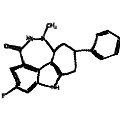 CN1NC(=O)c2cc(F)cc3[nH]c4c(c23)C1CC(c1ccccc1)C4